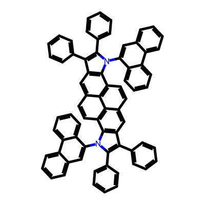 c1ccc(-c2c(-c3ccccc3)n(-c3cc4ccccc4c4ccccc34)c3c2cc2ccc4c5c(ccc3c25)cc2c(-c3ccccc3)c(-c3ccccc3)n(-c3cc5ccccc5c5ccccc35)c24)cc1